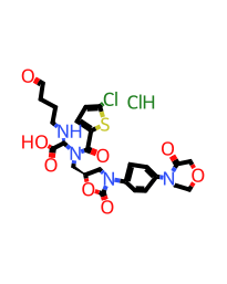 Cl.O=CCCCN[C@H](C(=O)O)N(C[C@H]1CN(c2ccc(N3CCOCC3=O)cc2)C(=O)O1)C(=O)c1ccc(Cl)s1